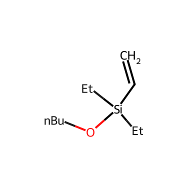 C=C[Si](CC)(CC)OCCCC